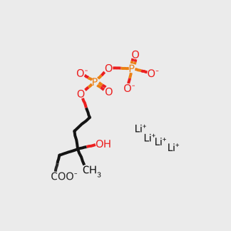 CC(O)(CCOP(=O)([O-])OP(=O)([O-])[O-])CC(=O)[O-].[Li+].[Li+].[Li+].[Li+]